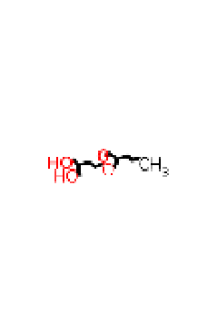 CC/C=C/C1COC(CCC(CO)CO)OC1